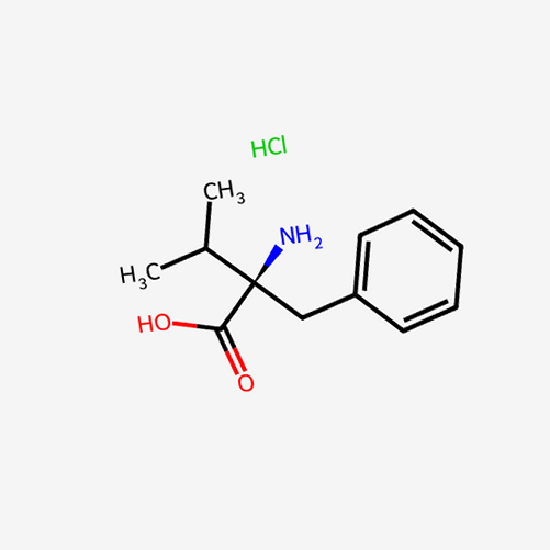 CC(C)[C@](N)(Cc1ccccc1)C(=O)O.Cl